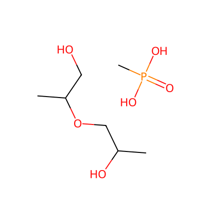 CC(O)COC(C)CO.CP(=O)(O)O